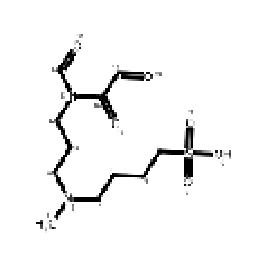 CN(CCCCS(=O)(=O)O)CCCN(C=O)C(=O)C=O